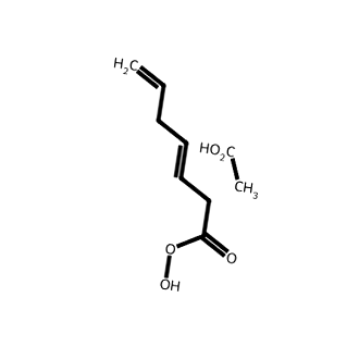 C=CCC=CCC(=O)OO.CC(=O)O